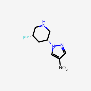 O=[N+]([O-])c1cnn([C@H]2CNC[C@@H](F)C2)c1